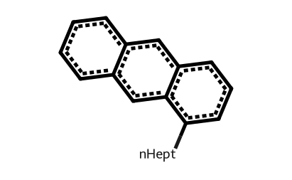 CCCCCCCc1cccc2cc3ccccc3cc12